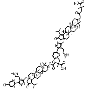 CNCCn1c(C[C@@]23CC[C@]4(C)[C@H](CC[C@@H]5[C@@]6(C)CC[C@H](OC(=O)CC(C)(C)C(=O)O)C(C)(C)[C@@H]6CC[C@]54C)C2=C(C(C)C)C(=O)C3)nnc1-c1ccc(Cl)c(CC(C)(CC(=O)O[C@H]2CC[C@]3(C)[C@H]4CCC5C6=C(C(C)C)C(=O)C[C@]6(Cc6nnc(-c7ncc(Cl)cn7)n6CCNC)CC[C@@]5(C)[C@]4(C)CC[C@H]3C2(C)C)C(=O)O)n1